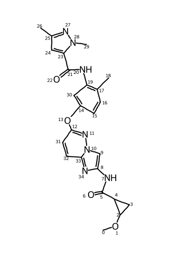 COC1CC1C(=O)Nc1cn2nc(Oc3ccc(C)c(NC(=O)c4cc(C)nn4C)c3)ccc2n1